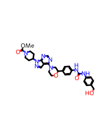 COC(=O)N1CCC(n2ncc3c(N4CCOC(c5ccc(NC(=O)Nc6ccc(CO)cc6)cc5)C4)ncnc32)CC1